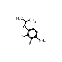 CC(C)Oc1ccc(N)c(F)c1F